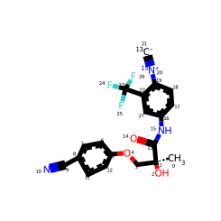 C[C@](O)(COc1ccc(C#N)cc1)C(=O)Nc1ccc([15N+]#[13C-])c(C(F)(F)F)c1